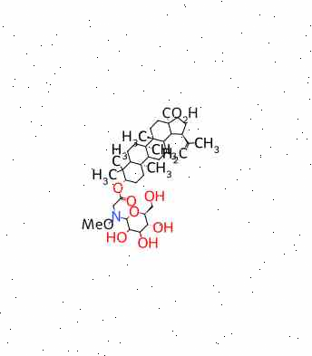 C=C(C)[C@@H]1CC[C@]2(C(=O)O)CC[C@]3(C)C(CCC4[C@@]5(C)CC[C@H](OC(=O)CN(OC)C6O[C@@H](CO)[C@H](O)[C@@H](O)[C@H]6O)C(C)(C)C5CC[C@]43C)C12